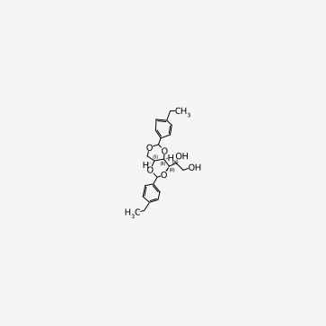 CCc1ccc(C2OC[C@@H]3OC(c4ccc(CC)cc4)O[C@H]([C@H](O)CO)[C@@H]3O2)cc1